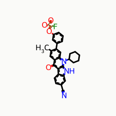 Cc1cc2c(=O)c3c4ccc(C#N)cc4[nH]c3n(C3CCCCC3)c2cc1-c1cccc(OS(=O)(=O)F)c1